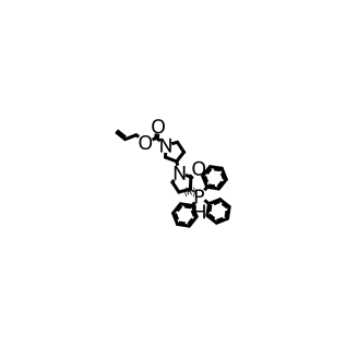 C=CCOC(=O)N1CCC(N2CC[C@@H]([PH](c3ccccc3)(c3ccccc3)c3ccccc3)C2=O)C1